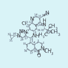 Cn1ccc2c([C@H](Nc3cc(Cl)c4ncc(C#N)c(NCC(C)(C)C)c4c3)c3cn(C4CC4)nn3)cccc2c1=O